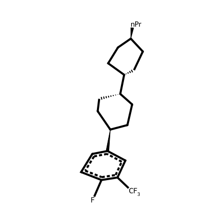 CCC[C@H]1CC[C@H]([C@H]2CC[C@H](c3ccc(F)c(C(F)(F)F)c3)CC2)CC1